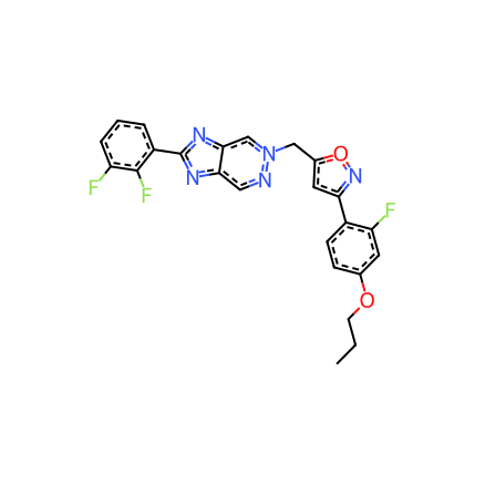 CCCOc1ccc(-c2cc(Cn3cc4nc(-c5cccc(F)c5F)nc-4cn3)on2)c(F)c1